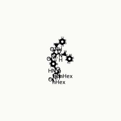 CCCCCCNC(=O)[C@@H](CNC(=O)CCCCCC)NC(=O)c1ccc(C(=O)N2C[C@@H](C(=O)N[C@H]3C[C@@H]3c3ccccc3)[C@H](C(=O)N[C@H]3C[C@@H]3c3ccccc3)C2)cc1